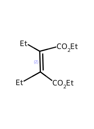 CCOC(=O)/C(CC)=C(/CC)C(=O)OCC